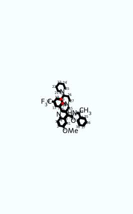 COc1ccc2nc(-c3cccc(C(F)(F)F)c3)c(CN3CCC(N4CCCCC4)CC3)c(C(=O)N[C@@H](C)c3ccccc3)c2c1